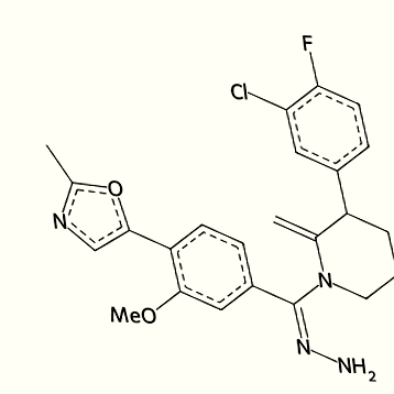 C=C1C(c2ccc(F)c(Cl)c2)CCCN1/C(=N\N)c1ccc(-c2cnc(C)o2)c(OC)c1